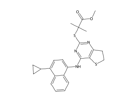 COC(=O)C(C)(C)Sc1nc2c(c(Nc3ccc(C4CC4)c4ccccc34)n1)SCC2